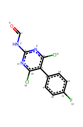 O=CNc1nc(Cl)c(-c2ccc(F)cc2)c(Cl)n1